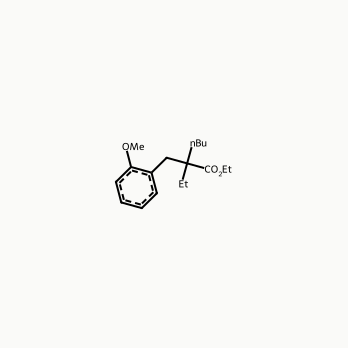 CCCCC(CC)(Cc1ccccc1OC)C(=O)OCC